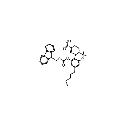 CCCCCc1cc(OC(=O)OCC2c3ccccc3-c3ccccc32)c2c(c1)OC(C)(C)C1CCC(C(=O)O)=CC21